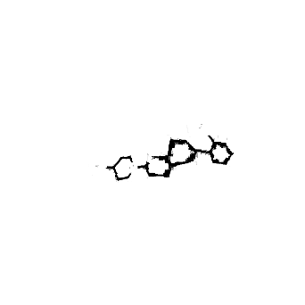 O=C(O)C1CCN(c2ccc3cc(-c4ccccc4C(F)(F)F)ccc3n2)CC1